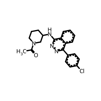 CC(=O)N1CCCC(Nc2nnc(-c3ccc(Cl)cc3)c3ccccc23)C1